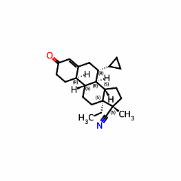 CC[C@]12CC[C@H]3[C@@H]([C@@H](C4CC4)CC4=CC(=O)CC[C@@H]43)[C@@H]1CC[C@]2(C)C#N